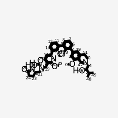 COc1cc(-c2cccc(-c3cccc(-c4ccc(CN(CC5CCC(=O)N5)C(=O)O)c(OC)n4)c3Cl)c2Cl)cc2c1CN(CC(O)C(C)C)CC2